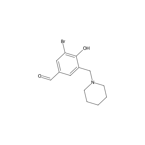 O=Cc1cc(Br)c(O)c(CN2CCCCC2)c1